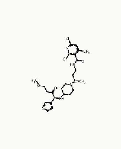 COCCC(=O)C(NC1CCN([C@H](C)CCNC(=O)c2c(C)cc(Cl)nc2Cl)CC1)c1ccsc1